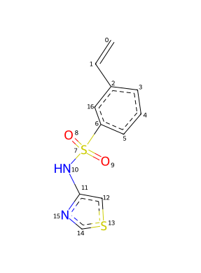 C=Cc1cccc(S(=O)(=O)Nc2cscn2)c1